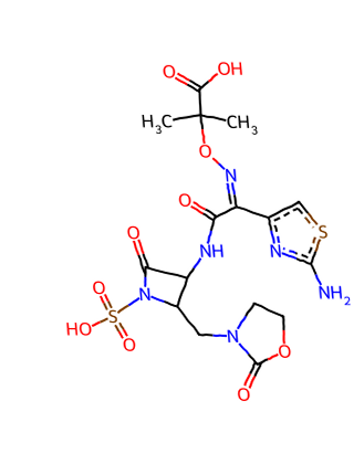 CC(C)(O/N=C(\C(=O)NC1C(=O)N(S(=O)(=O)O)C1CN1CCOC1=O)c1csc(N)n1)C(=O)O